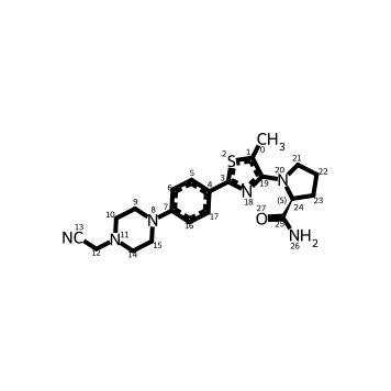 Cc1sc(-c2ccc(N3CCN(CC#N)CC3)cc2)nc1N1CCC[C@H]1C(N)=O